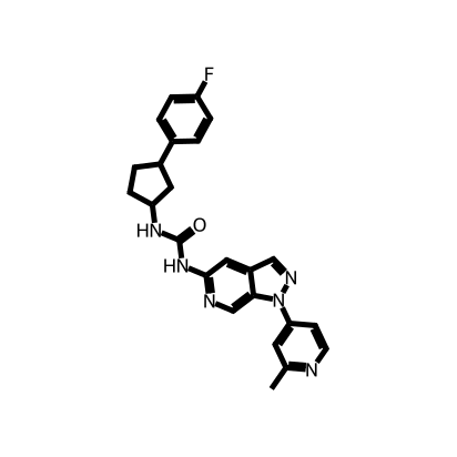 Cc1cc(-n2ncc3cc(NC(=O)NC4CCC(c5ccc(F)cc5)C4)ncc32)ccn1